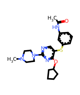 CC(=O)Nc1cccc(Sc2cnc(N3CCN(C)CC3)nc2OC2CCCC2)c1